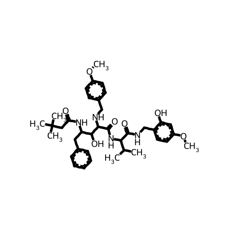 COc1ccc(CNC(C(=O)NC(C(=O)NCc2ccc(OC)cc2O)C(C)C)C(O)C(Cc2ccccc2)NC(=O)CC(C)(C)C)cc1